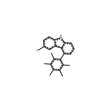 Cc1c(C)c(C)c(-c2cccc3[nH]c4ccc(Cl)cc4c23)c(C)c1C